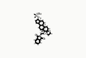 CC(C)(C)[Si](C)(C)O[C@H]1CCC2C3CC[C@H]4[C@H](CCN5C(=O)c6ccccc6C5=O)C5(CC[C@]4(C)C3CC[C@@]21C)OCCO5